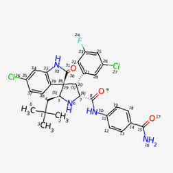 CC(C)(C)C[C@@H]1N[C@@H](C(=O)Nc2ccc(C(N)=O)cc2)[C@@H](c2cc(F)cc(Cl)c2)[C@]12C(=O)Nc1cc(Cl)ccc12